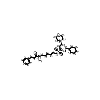 O=C(/C=C/c1ccncc1)NCCCCCCS(=O)(=O)N(CCN1CCOCC1)OCC1CCCCC1